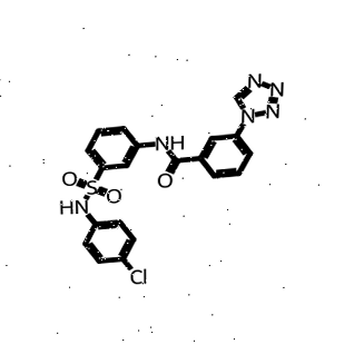 O=C(Nc1cccc(S(=O)(=O)Nc2ccc(Cl)cc2)c1)c1cccc(-n2cnnn2)c1